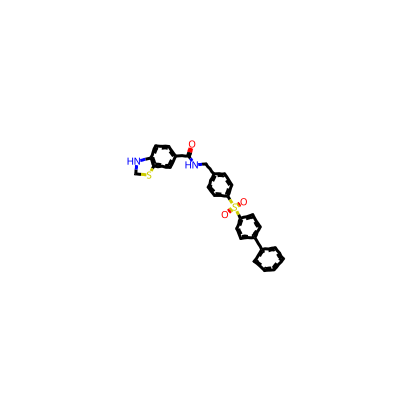 O=C(NCc1ccc(S(=O)(=O)c2ccc(-c3ccccc3)cc2)cc1)c1ccc2c(c1)SCN2